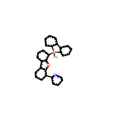 CS1(c2cccc3c2oc2c(-c4ccccn4)cccc23)c2ccccc2-c2ccccc21